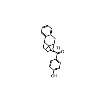 CCC1(C)[C@H]2Cc3ccccc3[C@]1(C)CCN2C(=O)c1ccc(O)cc1